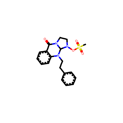 CS(=O)(=O)ON1CCN2C(=O)c3ccccc3N(CCc3ccccc3)C12